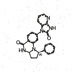 O=C1NC2CC[C@H](c3ccccc3)N2c2cc(-n3c(=O)[nH]c4ncccc43)ccc21